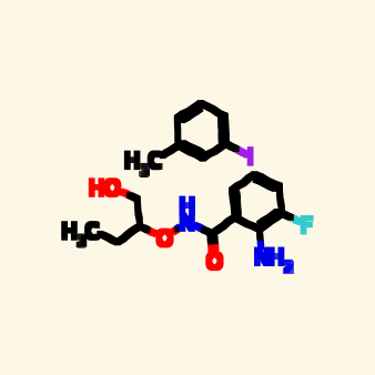 CCC(CO)ONC(=O)c1cccc(F)c1N.Cc1cccc(I)c1